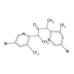 CC(C(=O)C(C)c1ncc(Br)cc1C(F)(F)F)c1ncc(Br)cc1C(F)(F)F